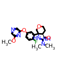 COc1cncc(Oc2ccc(F)c([C@]3(NC(=N)N(C)C)COCC[C@H]3C=O)c2)n1